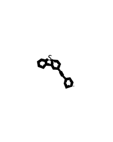 C(#Cc1ccc2sc3ccccc3c2c1)c1cc[c]cc1